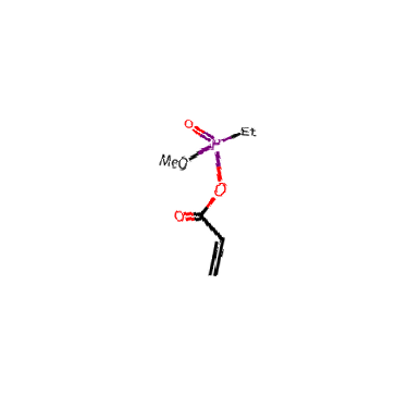 C=CC(=O)OP(=O)(CC)OC